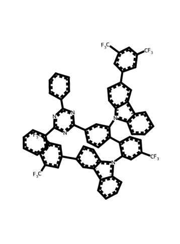 FC(F)(F)c1cc(-c2ccc3c(c2)c2ccccc2n3-c2cc(-c3nc(-c4ccccc4)nc(-c4ccccc4)n3)ccc2-c2ccc(C(F)(F)F)cc2-n2c3ccccc3c3cc(-c4cc(C(F)(F)F)cc(C(F)(F)F)c4)ccc32)cc(C(F)(F)F)c1